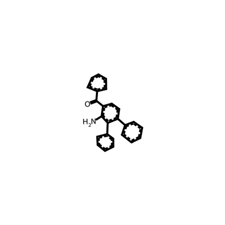 Nc1c(C(=O)c2ccccc2)ccc(-c2ccccc2)c1-c1ccccc1